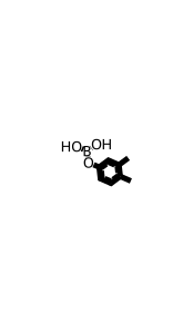 Cc1ccc(OB(O)O)cc1C